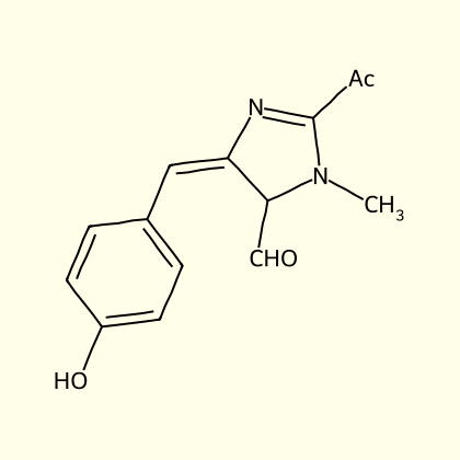 CC(=O)C1=NC(=Cc2ccc(O)cc2)C(C=O)N1C